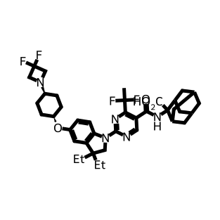 CCC1(CC)CN(c2ncc(C(=O)NC3(C(=O)O)C4CC5CC(C4)CC3C5)c(C(C)(F)F)n2)c2ccc(O[C@H]3CC[C@H](N4CC(F)(F)C4)CC3)cc21